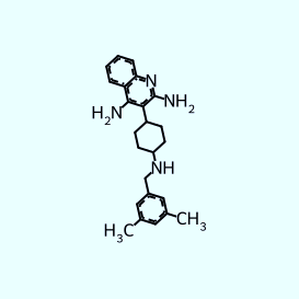 Cc1cc(C)cc(CNC2CCC(c3c(N)nc4ccccc4c3N)CC2)c1